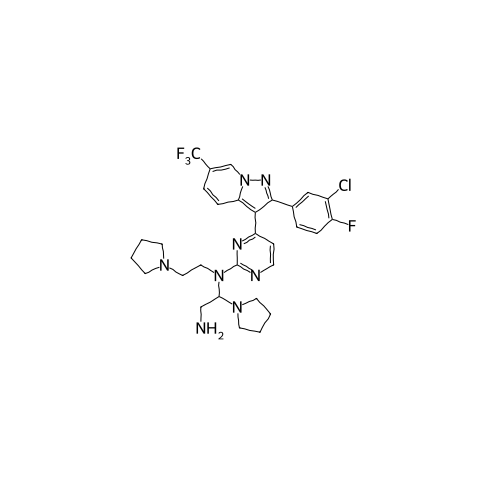 NCC(N1CCCC1)N(CCN1CCCC1)c1nccc(-c2c(-c3ccc(F)c(Cl)c3)nn3cc(C(F)(F)F)ccc23)n1